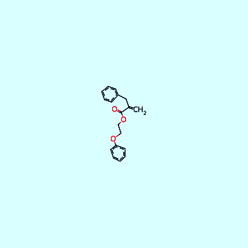 C=C(Cc1ccccc1)C(=O)OCCOc1ccccc1